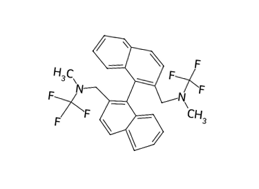 CN(Cc1ccc2ccccc2c1-c1c(CN(C)C(F)(F)F)ccc2ccccc12)C(F)(F)F